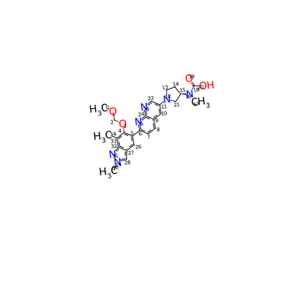 COCOc1c(-c2ccc3cc(N4CC[C@@H](N(C)C(=O)O)C4)cnc3n2)cc2cn(C)nc2c1C